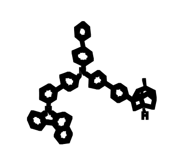 C[C@H]1CC2C[C@H]3CC(c4ccc(-c5ccc(N(c6ccc(-c7ccccc7)cc6)c6ccc(-c7cccc(-n8c9ccccc9c9c%10ccccc%10ccc98)c7)cc6)cc5)cc4)(C1)[C@H]3C2